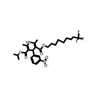 CC1=C(C(=O)OCCCCCCCCC(F)(F)F)C(c2cccc([N+](=O)[O-])c2)C(C(=O)OC(C)C)=C(C)N1